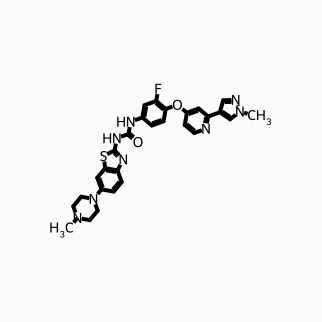 CN1CCN(c2ccc3nc(NC(=O)Nc4ccc(Oc5ccnc(-c6cnn(C)c6)c5)c(F)c4)sc3c2)CC1